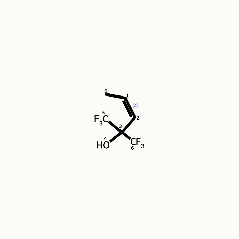 C/C=C\C(O)(C(F)(F)F)C(F)(F)F